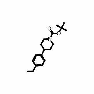 CCc1ccc(C2CCN(C(=O)OC(C)(C)C)CC2)cc1